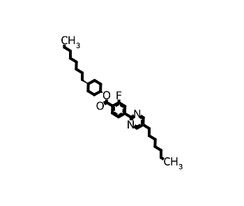 CCCCCCCC[C@H]1CC[C@H](OC(=O)c2ccc(-c3ncc(CCCCCCC)cn3)cc2F)CC1